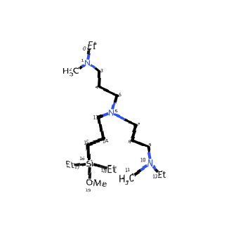 CCN(C)CCCN(CCCN(C)CC)CCC[Si](CC)(CC)OC